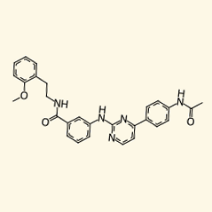 COc1ccccc1CCNC(=O)c1cccc(Nc2nccc(-c3ccc(NC(C)=O)cc3)n2)c1